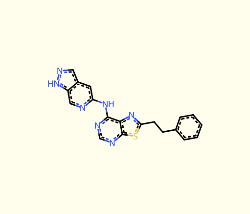 c1ccc(CCc2nc3c(Nc4cc5cn[nH]c5cn4)ncnc3s2)cc1